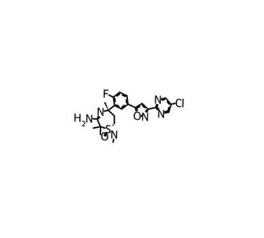 CN=[S@]1(=O)CC[C@@](C)(c2cc(-c3cc(-c4ncc(Cl)cn4)no3)ccc2F)N=C(N)C1(C)C